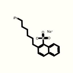 CC(C)CCCCCCc1ccc2ccccc2c1S(=O)(=O)[O-].[Na+]